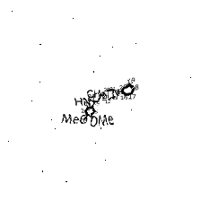 COc1cc2c(cc1OC)C(CCN1CCN(c3ccccc3)CC1)C(C)N2